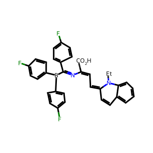 CCN1C(=CC=C(N=C(B(c2ccc(F)cc2)c2ccc(F)cc2)c2ccc(F)cc2)C(=O)O)C=Cc2ccccc21